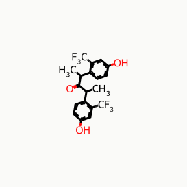 CC(C(=O)C(C)c1ccc(O)cc1C(F)(F)F)c1ccc(O)cc1C(F)(F)F